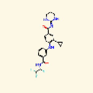 O=C(N=C1NCCCN1)c1ccc(Nc2cccc(C(=O)NC(F)C(F)F)c2)c(C2CC2)c1